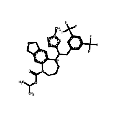 CC(C)OC(=O)N1CCC[C@H](N(Cc2cc(C(F)(F)F)cc(C(F)(F)F)c2)c2nnn(C)n2)c2cc3c(cc21)COC3